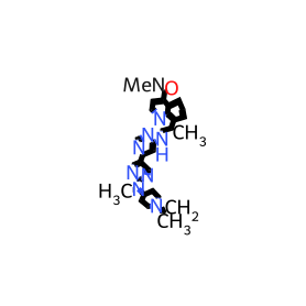 C=C(C)N1CCC(N(C)c2ncc(-c3cc(NC[C@@H](C)c4cccc5c(C(=O)NC)ccnc45)ncn3)cn2)CC1